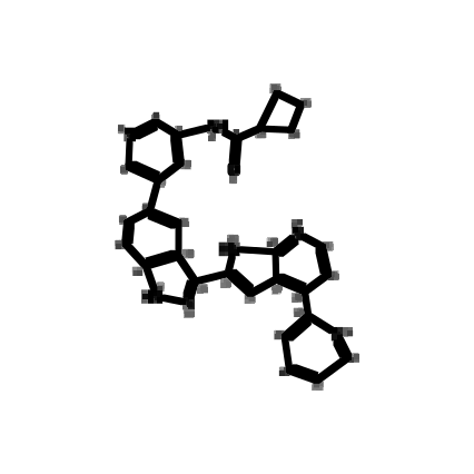 O=C(Nc1cncc(-c2ccc3[nH]nc(-c4cc5c(-c6ccccn6)ccnc5[nH]4)c3c2)c1)C1CCC1